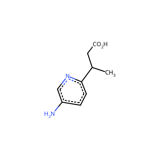 CC(CC(=O)O)c1ccc(N)cn1